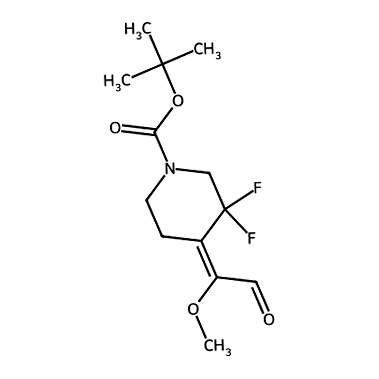 CO/C(C=O)=C1\CCN(C(=O)OC(C)(C)C)CC1(F)F